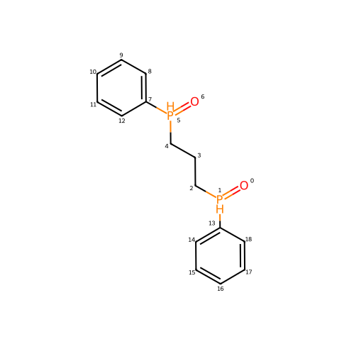 O=[PH](CCC[PH](=O)c1ccccc1)c1ccccc1